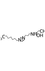 CCCCCCC[n+]1ccn(CCCNCC(O)CC)c1